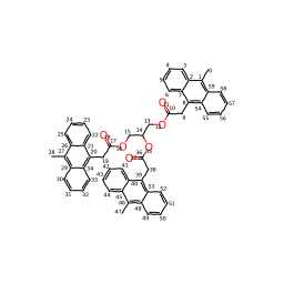 Cc1c2ccccc2c(CC(=O)OCC(COC(=O)Cc2c3ccccc3c(C)c3ccccc23)OC(=O)Cc2c3ccccc3c(C)c3ccccc23)c2ccccc12